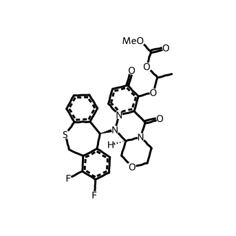 COC(=O)OC(C)Oc1c2n(ccc1=O)N([C@@H]1c3ccccc3SCc3c1ccc(F)c3F)[C@@H]1COCCN1C2=O